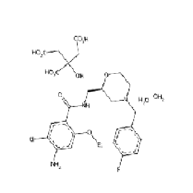 CCOc1cc(N)c(Cl)cc1C(=O)NC[C@@H]1CN(Cc2ccc(F)cc2)CCO1.O.O.O=C(O)CC(O)(CC(=O)O)C(=O)O